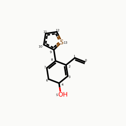 C=CC1=CC(O)CC=C1c1cccs1